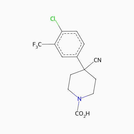 N#CC1(c2ccc(Cl)c(C(F)(F)F)c2)CCN(C(=O)O)CC1